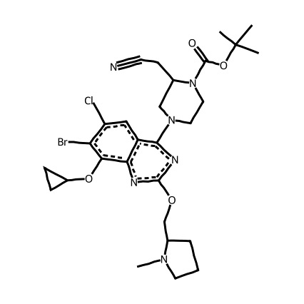 CN1CCCC1COc1nc(N2CCN(C(=O)OC(C)(C)C)C(CC#N)C2)c2cc(Cl)c(Br)c(OC3CC3)c2n1